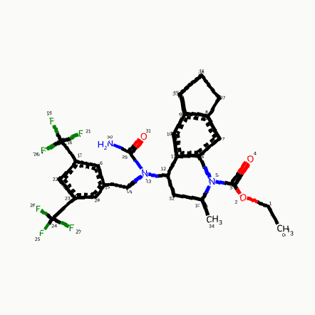 CCOC(=O)N1c2cc3c(cc2C(N(Cc2cc(C(F)(F)F)cc(C(F)(F)F)c2)C(N)=O)CC1C)CCC3